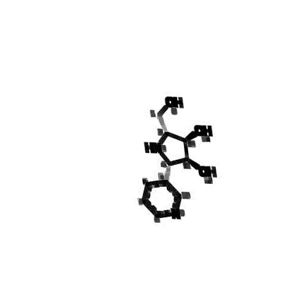 OC[C@H]1N[C@@H](c2cccnc2)[C@H](O)[C@@H]1O